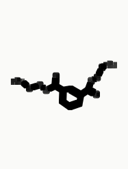 CCCCOOOC(=O)c1cccc(C(=O)OOOCCCC)c1